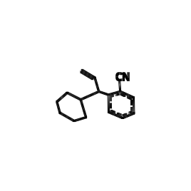 C=CC(c1ccccc1C#N)C1CCCCC1